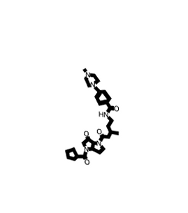 CC(CCNC(=O)c1ccc(N2CCN(C)CC2)cc1)CC(=O)N1CCC2C1C(=O)CN2C(=O)C1CCCC1